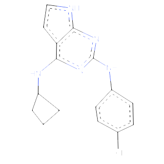 FC(F)(F)c1ccc(Nc2nc(NC3CCC3)c3cc[nH]c3n2)cc1